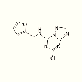 Clc1nc(NCc2ccco2)n2ncnc2n1